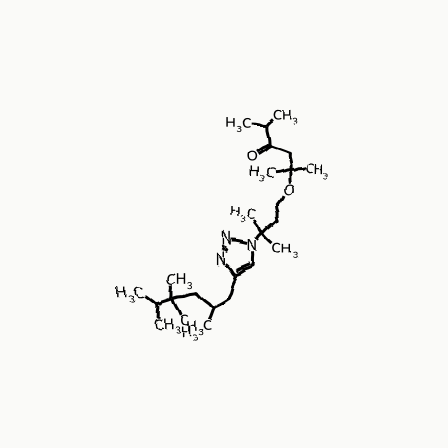 CC(Cc1cn(C(C)(C)CCOC(C)(C)CC(=O)C(C)C)nn1)CC(C)(C)C(C)C